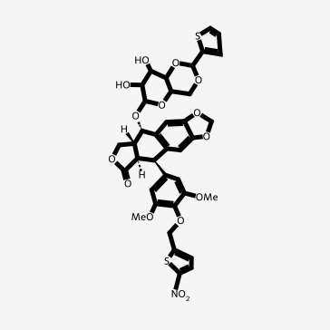 COc1cc([C@@H]2c3cc4c(cc3[C@@H](OC3OC5COC(c6cccs6)OC5C(O)C3O)[C@H]3COC(=O)[C@H]23)OCO4)cc(OC)c1OCc1ccc([N+](=O)[O-])s1